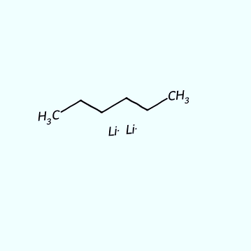 CCCCCC.[Li].[Li]